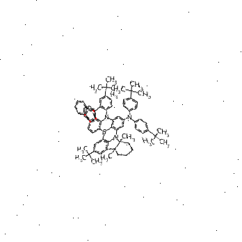 CC(C)(C)c1ccc(N(c2ccc(C(C)(C)C)cc2)c2cc3c4c(c2)N2c5c(cc(C(C)(C)C)cc5C5(C)CCCCC25C)B4c2ccc4c(sc5ccccc54)c2N3c2ccc(C(C)(C)C)cc2-c2ccccc2)cc1